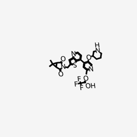 Cc1cc(-c2ccnc3cc(CN4C(=O)C5C(C4=O)C5(C)C)sc23)c(OC2CCCNC2)cn1.O=C(O)C(F)(F)F